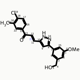 COc1cc(CO)cc(-c2cc(/C=C/C(=O)c3ccc(Cl)c(C)c3)[nH]n2)c1